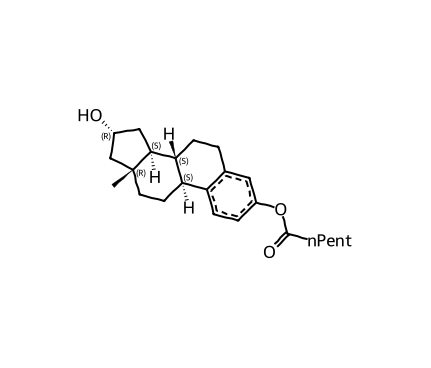 CCCCCC(=O)Oc1ccc2c(c1)CC[C@@H]1[C@@H]2CC[C@]2(C)C[C@H](O)C[C@@H]12